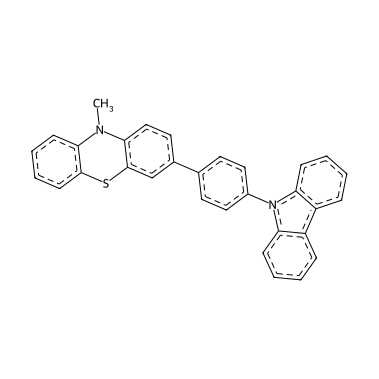 CN1c2ccccc2Sc2cc(-c3ccc(-n4c5ccccc5c5ccccc54)cc3)ccc21